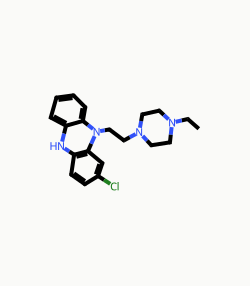 CCN1CCN(CCN2c3ccccc3Nc3ccc(Cl)cc32)CC1